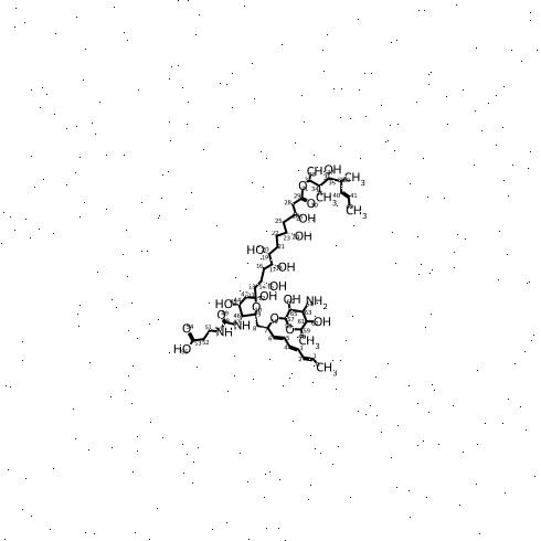 C/C=C/C=C/C=C/[C@@H](C[C@@H]1O[C@](O)(C[C@@H](O)C[C@@H](O)[C@H](O)CC[C@@H](O)C[C@@H](O)CC(=O)O[C@@H](C)[C@H](C)[C@H](O)[C@@H](C)/C=C/C)C[C@H](O)[C@H]1NC(=O)NCCC(=O)O)OC1OC(C)C(O)C(N)C1O